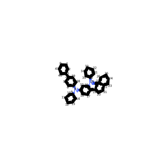 c1ccc(-c2ccc(N(c3ccccc3)c3ccc4c5ccc6ccccc6c5n(-c5ccccc5)c4c3)cc2)cc1